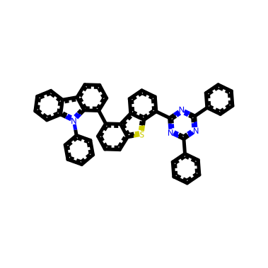 c1ccc(-c2nc(-c3ccccc3)nc(-c3cccc4c3sc3cccc(-c5cccc6c7ccccc7n(-c7ccccc7)c56)c34)n2)cc1